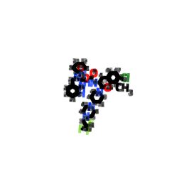 Cc1cc(CC(NC(=O)ON2CCC3CC2(N2CNc4ccccc4C2)O3)C(=O)N2CCC(N3CCN(CC(F)(F)F)CC3)CC2)ccc1Cl